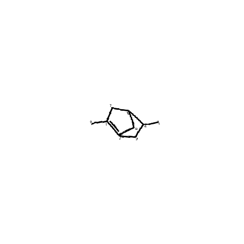 CC1=C2CC(C)C(C1)C2